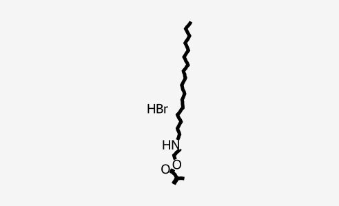 Br.C=C(C)C(=O)OCCNCCCCCCCCCCCCCCCCC